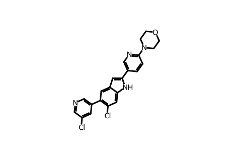 Clc1cncc(-c2cc3cc(-c4ccc(N5CCOCC5)nc4)[nH]c3cc2Cl)c1